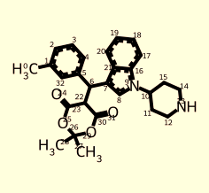 Cc1cccc(C(c2cn(C3CCNCC3)c3ccccc23)C2C(=O)OC(C)(C)OC2=O)c1